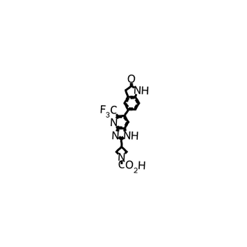 O=C1Cc2cc(-c3cc4[nH]c(C5CN(C(=O)O)C5)nc4nc3C(F)(F)F)ccc2N1